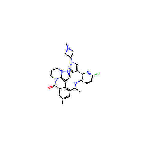 Cc1cc(C(C)Nc2ccc(Cl)nc2-c2cnn(C3CN(C)C3)c2)c2c(c1)c(=O)n1c3c2cnn3CCC1